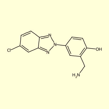 NCc1cc(-n2nc3ccc(Cl)cc3n2)ccc1O